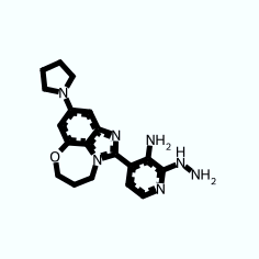 NNc1nccc(-c2nc3cc(N4CCCC4)cc4c3n2CCCO4)c1N